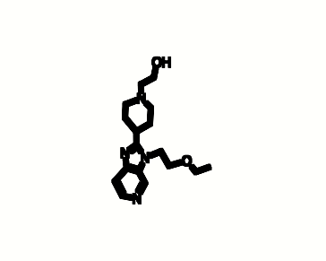 CCOCCn1c(C2CCN(CCO)CC2)nc2ccncc21